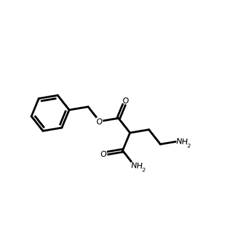 NCCC(C(N)=O)C(=O)OCc1ccccc1